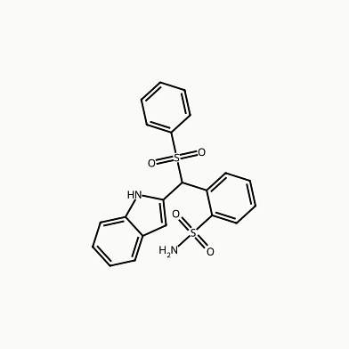 NS(=O)(=O)c1ccccc1C(c1cc2ccccc2[nH]1)S(=O)(=O)c1ccccc1